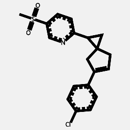 CS(=O)(=O)c1ccc(C2CC23CC=C(c2ccc(Cl)cc2)C3)nc1